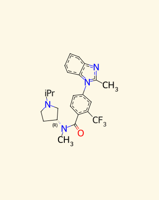 Cc1nc2ccccc2n1-c1ccc(C(=O)N(C)[C@@H]2CCN(C(C)C)C2)c(C(F)(F)F)c1